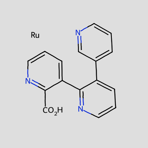 O=C(O)c1ncccc1-c1ncccc1-c1cccnc1.[Ru]